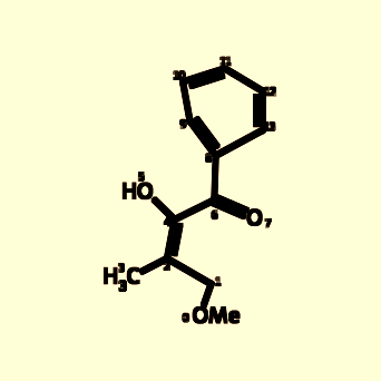 COCC(C)=C(O)C(=O)c1ccccc1